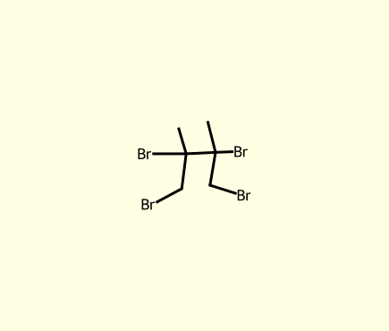 CC(Br)(CBr)C(C)(Br)CBr